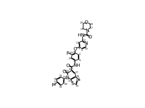 O=C(Nc1ccc(Oc2ccnc(NC(=O)N3CCOCC3)c2)c(F)c1)c1cc2ncsc2n(-c2ccc(F)cc2)c1=O